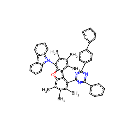 Bc1c(B)c(-c2nc(-c3ccccc3)nc(-c3ccc(-c4ccccc4)cc3)n2)c2c(oc3c(-n4c5ccccc5c5ccccc54)c(B)c(B)c(B)c32)c1B